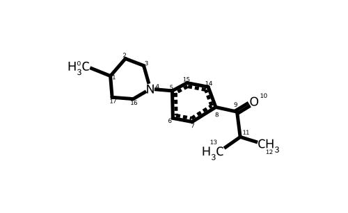 CC1CCN(c2ccc(C(=O)C(C)C)cc2)CC1